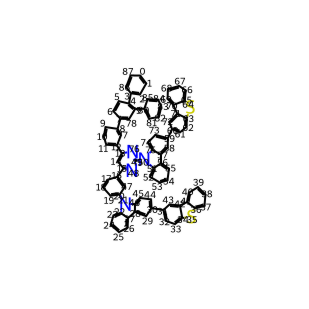 c1ccc(-c2ccc(-c3cccc(-c4cc(-c5cccc(-n6c7ccccc7c7cc(-c8ccc9sc%10ccccc%10c9c8)ccc76)c5)nc(-n5c6ccccc6c6cc(-c7ccc8sc9ccccc9c8c7)ccc65)n4)c3)cc2-c2ccccc2)cc1